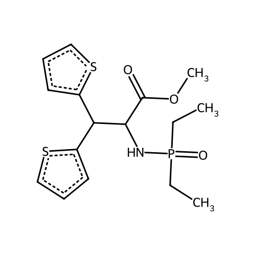 CCP(=O)(CC)NC(C(=O)OC)C(c1cccs1)c1cccs1